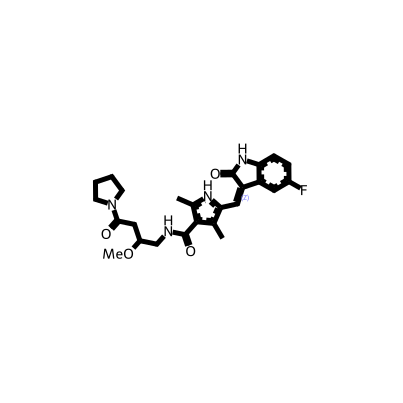 COC(CNC(=O)c1c(C)[nH]c(/C=C2\C(=O)Nc3ccc(F)cc32)c1C)CC(=O)N1CCCC1